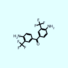 Nc1ccc(C(=O)c2ccc(N)c(C(F)(F)F)c2)cc1C(F)(F)F